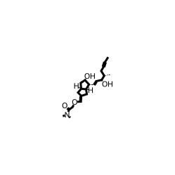 CC#CC[C@H](C)[C@@H](O)/C=C/[C@@H]1[C@H]2CC(=COCC(=O)N(C)C)C[C@H]2C[C@H]1O